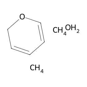 C.C.C1=CCOC=C1.O